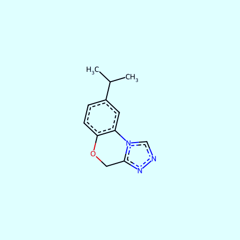 CC(C)c1ccc2c(c1)-n1cnnc1CO2